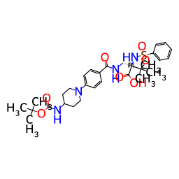 CC(C)(C)OC(=O)NC1CCN(c2ccc(C(=O)NC[C@@](NS(=O)(=O)c3ccccc3)(C(=O)O)C(C)(C)C)cc2)CC1